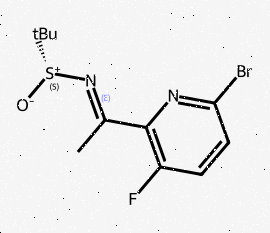 C/C(=N\[S@+]([O-])C(C)(C)C)c1nc(Br)ccc1F